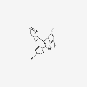 O=C(O)CC1CC(c2c(-c3ccc(F)cc3)[nH]c3c(F)cc(F)cc23)C1